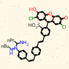 CCCCNN(c1ccc(/C=C\c2ccc(/C=C/c3ccc(-c4c5cc(Cl)c(=O)cc-5oc5cc(O)c(Cl)cc45)c(S(=O)(=O)O)c3)cc2)cc1)C(N)CCC